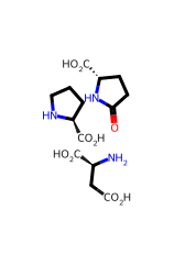 N[C@@H](CC(=O)O)C(=O)O.O=C(O)[C@@H]1CCCN1.O=C1CC[C@@H](C(=O)O)N1